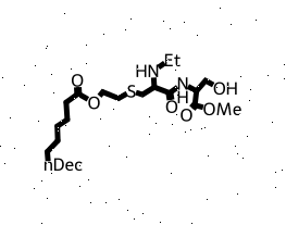 CCCCCCCCCCCCCCCC(=O)OCCSCC(NCC)C(=O)NC(CO)C(=O)OC